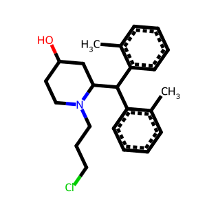 Cc1ccccc1C(c1ccccc1C)C1CC(O)CCN1CCCCl